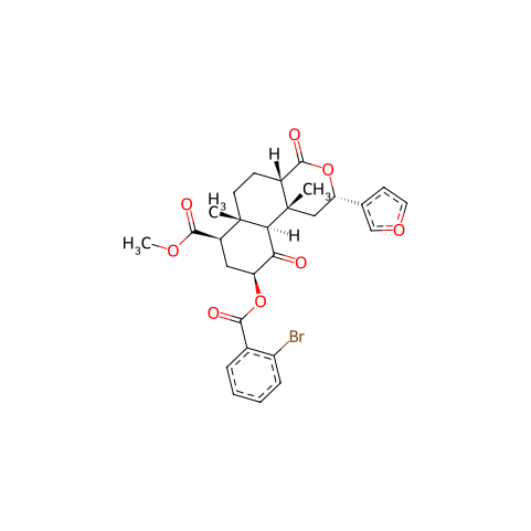 COC(=O)[C@@H]1C[C@H](OC(=O)c2ccccc2Br)C(=O)[C@@H]2[C@@]3(C)C[C@@H](c4ccoc4)OC(=O)[C@H]3CC[C@]21C